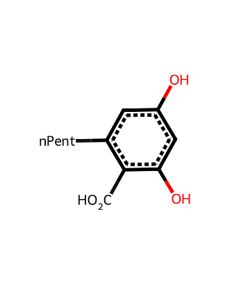 CCCCCc1cc(O)cc(O)c1C(=O)O